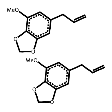 C=CCc1cc(OC)c2c(c1)OCO2.C=CCc1cc(OC)c2c(c1)OCO2